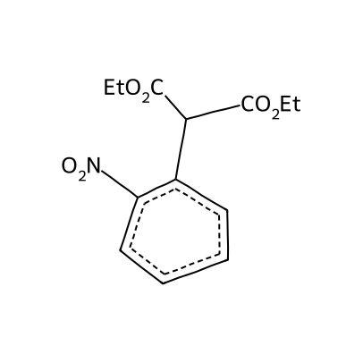 CCOC(=O)C(C(=O)OCC)c1ccccc1[N+](=O)[O-]